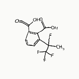 CC(F)(c1cccc(C(=O)O)c1C(=O)O)C(F)(F)F